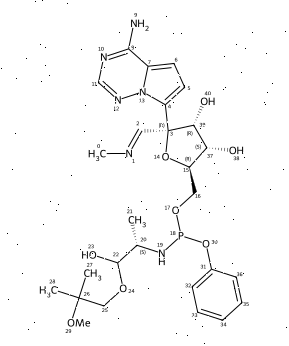 CN=C[C@@]1(c2ccc3c(N)ncnn23)O[C@H](COP(N[C@@H](C)C(O)OCC(C)(C)OC)Oc2ccccc2)[C@@H](O)[C@H]1O